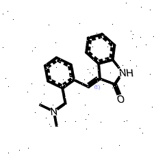 CN(C)Cc1ccccc1/C=C1/C(=O)Nc2ccccc21